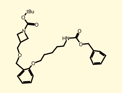 CC(C)(C)OC(=O)N1CC(COCc2ccccc2OCCCCCNC(=O)OCc2ccccc2)C1